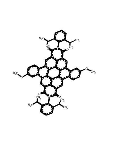 COc1ccc2c(c1)c1cc3c(=O)n(-c4c(C(C)C)cccc4C(C)C)c(=O)c4cc5c6ccc(OC)cc6c6cc7c(=O)n(-c8c(C(C)C)cccc8C(C)C)c(=O)c8cc2c2c1c(c43)c5c6c2c87